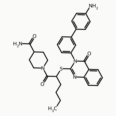 CCCCC(Sc1nc2ccccc2c(=O)n1-c1cccc(-c2ccc(N)cc2)c1)C(=O)N1CCC(C(N)=O)CC1